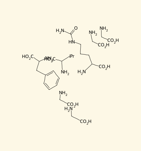 CC(C)C(N)C(=O)O.NC(=O)NCCCC(N)C(=O)O.NC(Cc1ccccc1)C(=O)O.NCC(=O)O.NCC(=O)O.NCC(=O)O.NCC(=O)O